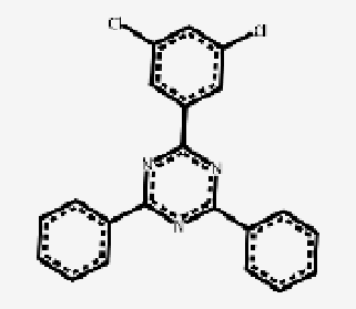 Clc1cc(Cl)cc(-c2nc(-c3ccccc3)nc(-c3ccccc3)n2)c1